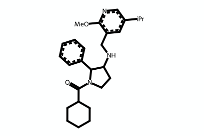 COc1ncc(C(C)C)cc1CNC1CCN(C(=O)C2CCCCC2)C1c1ccccc1